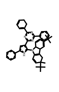 CC(C)(C)C1=CC2C3=C(C=CC(C)(C(C)(C)C)C3)N(c3[nH]c(-c4ccccc4)cc3-c3nc(C4=CC=CCC4)nc(-c4ccccc4)n3)C2C=C1